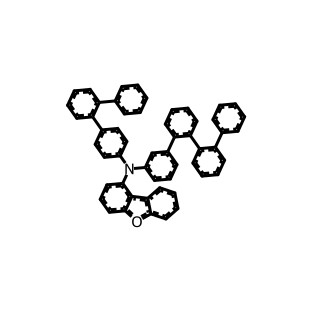 c1ccc(-c2ccccc2-c2ccc(N(c3cccc(-c4ccccc4-c4ccccc4-c4ccccc4)c3)c3cccc4oc5ccccc5c34)cc2)cc1